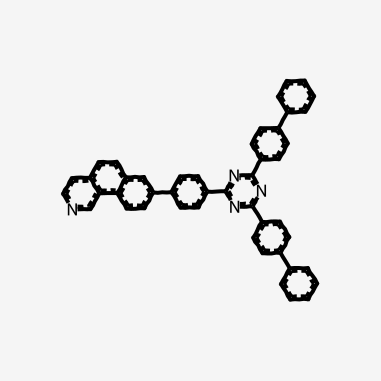 c1ccc(-c2ccc(-c3nc(-c4ccc(-c5ccccc5)cc4)nc(-c4ccc(-c5ccc6c(ccc7ccncc76)c5)cc4)n3)cc2)cc1